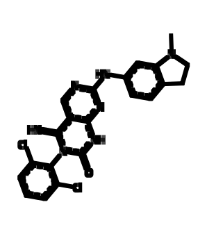 CN1CCc2ccc(Nc3ncc4c(=N)n(-c5c(Cl)cccc5Cl)c(=O)[nH]c4n3)cc21